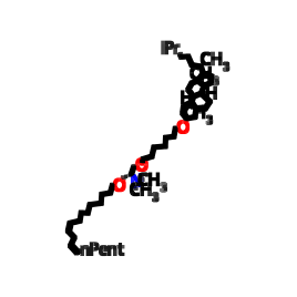 CCCCC/C=C\C/C=C\CCCCCCCCOC[C@H](COCCCCCCCOC1CC[C@@]2(C)C(=CC[C@H]3[C@@H]4CC[C@H]([C@H](C)CCCC(C)C)[C@@]4(C)CC[C@@H]32)C1)N(C)C